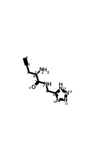 C#CC[C@@H](N)C(=O)NCc1nnn[nH]1